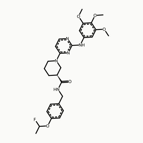 COc1cc(Nc2nccc(N3CCC[C@H](C(=O)NCc4ccc(OC(C)F)cc4)C3)n2)cc(OC)c1OC